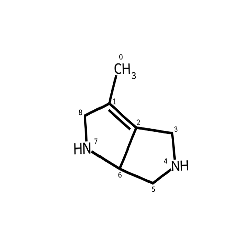 CC1=C2CNCC2NC1